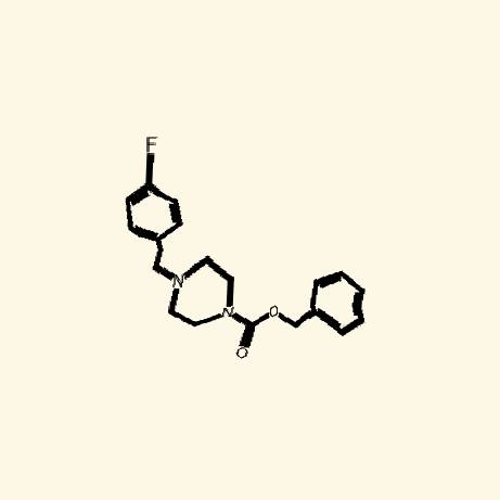 O=C(OCc1ccccc1)N1CCN(Cc2ccc(F)cc2)CC1